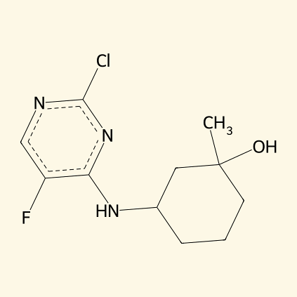 CC1(O)CCCC(Nc2nc(Cl)ncc2F)C1